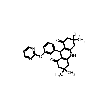 CC1(C)CC(=O)C2=C(C1)NC1=C(C(=O)CC(C)(C)C1)C2c1cccc(Oc2ncccn2)c1